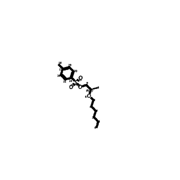 CCCCCCO[C@H](C)COS(=O)(=O)c1ccc(C)cc1